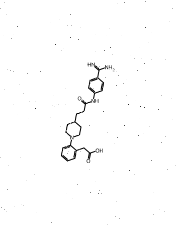 N=C(N)c1ccc(NC(=O)CCC2CCN(c3ccccc3CC(=O)O)CC2)cc1